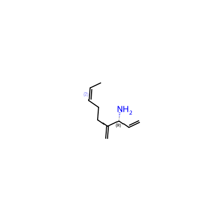 C=C[C@@H](N)C(=C)CC/C=C\C